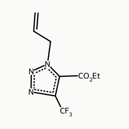 C=CCn1nnc(C(F)(F)F)c1C(=O)OCC